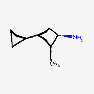 CC1C(C2CC2)C[C@H]1N